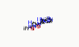 CC(C)NC(=O)c1cccc(C(=O)NCc2cnn(-c3cnc4nccn4c3)c2)n1